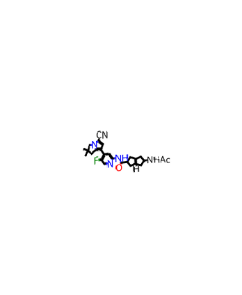 CC(=O)NC1CC2CC(C(=O)Nc3cc(-c4cc(C#N)n5c4CC(C)(C)C5)c(F)cn3)C[C@H]2C1